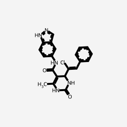 CC1=C(C(=O)Nc2ccc3[nH]ncc3c2)C(/C(Cl)=C/c2ccccc2)NC(=O)N1